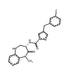 CN1C(=O)[C@@H](NC(=O)n2cc(Cc3cccc(F)c3)cn2)CNc2ccncc21